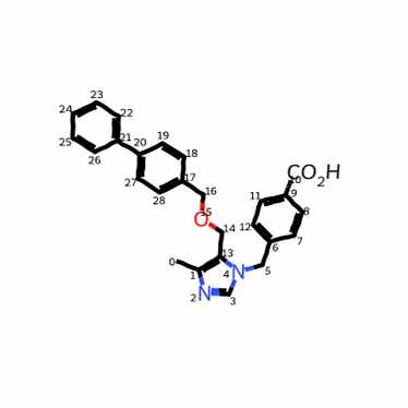 Cc1ncn(Cc2ccc(C(=O)O)cc2)c1COCc1ccc(-c2ccccc2)cc1